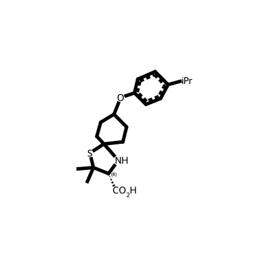 CC(C)c1ccc(OC2CCC3(CC2)N[C@H](C(=O)O)C(C)(C)S3)cc1